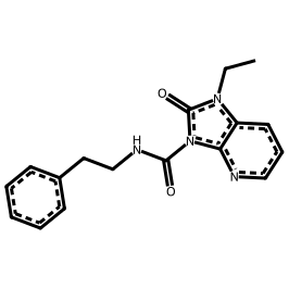 CCn1c(=O)n(C(=O)NCCc2ccccc2)c2ncccc21